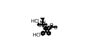 COCCC(=O)N1CCN2C(CN(Cc3c(OC)nc(C4CC4)nc3OC(C)C)CC2C(c2ccccc2)c2ccccc2)C1.Cl.Cl